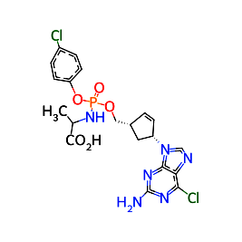 CC(NP(=O)(OC[C@@H]1C=C[C@H](n2cnc3c(Cl)nc(N)nc32)C1)Oc1ccc(Cl)cc1)C(=O)O